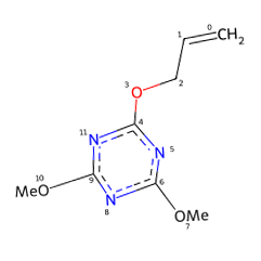 C=CCOc1nc(OC)nc(OC)n1